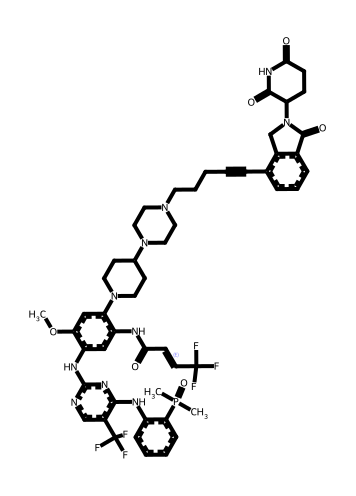 COc1cc(N2CCC(N3CCN(CCCC#Cc4cccc5c4CN(C4CCC(=O)NC4=O)C5=O)CC3)CC2)c(NC(=O)/C=C/C(F)(F)F)cc1Nc1ncc(C(F)(F)F)c(Nc2ccccc2P(C)(C)=O)n1